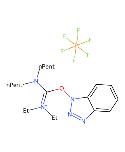 CCCCCN(CCCCC)C(On1nnc2ccccc21)=[N+](CC)CC.F[P-](F)(F)(F)(F)F